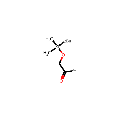 [2H]C(=O)CO[Si](C)(C)C(C)(C)C